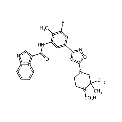 Cc1c(F)cc(-c2noc(N3CCN(C(=O)O)C(C)(C)C3)n2)cc1NC(=O)c1cnc2ccccn12